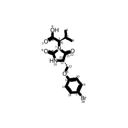 CC(C)[C@H](C(=O)O)N1C(=O)N[C@@H](COc2ccc(Br)cc2)C1=O